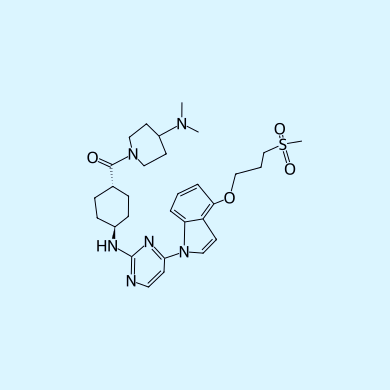 CN(C)C1CCN(C(=O)[C@H]2CC[C@H](Nc3nccc(-n4ccc5c(OCCCS(C)(=O)=O)cccc54)n3)CC2)CC1